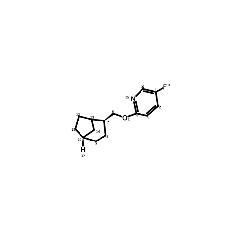 Fc1ccc(OC[C@H]2CC[C@@H]3CCC2C3)nc1